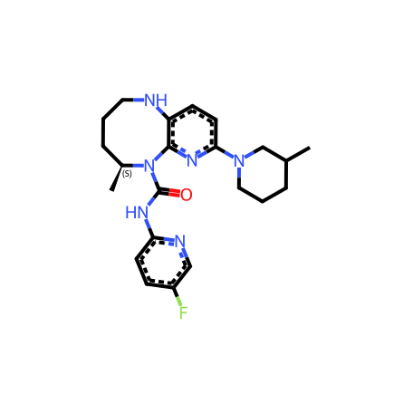 CC1CCCN(c2ccc3c(n2)N(C(=O)Nc2ccc(F)cn2)[C@@H](C)CCCN3)C1